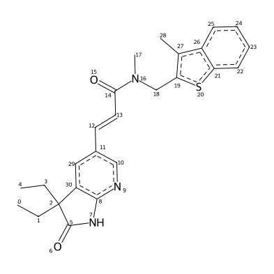 CCC1(CC)C(=O)Nc2ncc(C=CC(=O)N(C)Cc3sc4ccccc4c3C)cc21